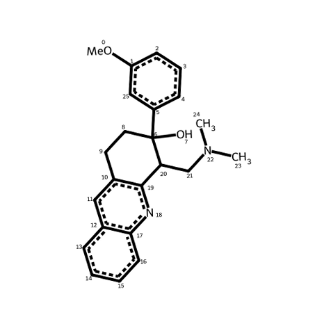 COc1cccc(C2(O)CCc3cc4ccccc4nc3C2CN(C)C)c1